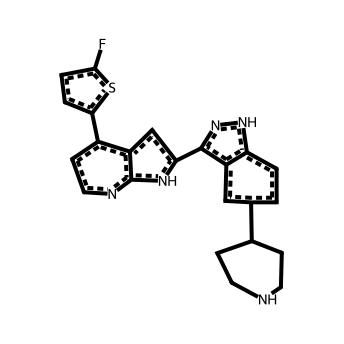 Fc1ccc(-c2ccnc3[nH]c(-c4n[nH]c5ccc(C6CCNCC6)cc45)cc23)s1